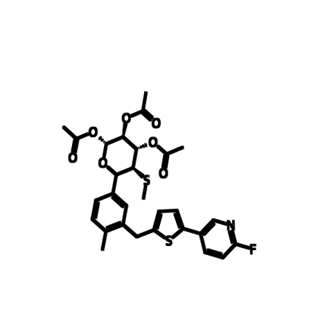 CS[C@H]1C(c2ccc(C)c(Cc3ccc(-c4ccc(F)nc4)s3)c2)O[C@H](OC(C)=O)[C@@H](OC(C)=O)[C@@H]1OC(C)=O